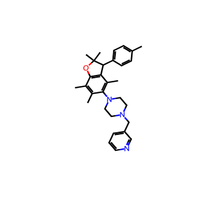 Cc1ccc(C2c3c(C)c(N4CCN(Cc5cccnc5)CC4)c(C)c(C)c3OC2(C)C)cc1